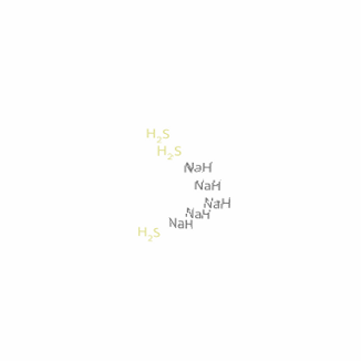 S.S.S.[NaH].[NaH].[NaH].[NaH].[NaH]